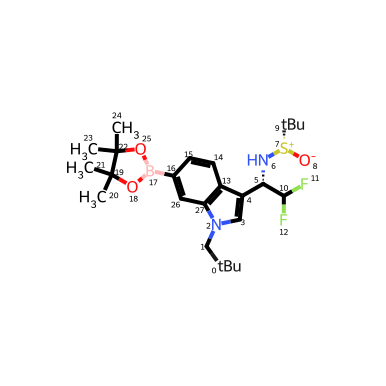 CC(C)(C)Cn1cc([C@H](N[S@@+]([O-])C(C)(C)C)C(F)F)c2ccc(B3OC(C)(C)C(C)(C)O3)cc21